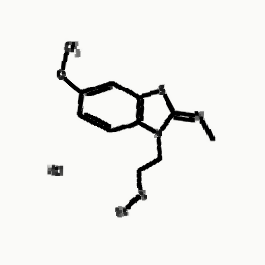 CCSCCn1c(=NC)sc2cc(OC(F)(F)F)ccc21.Cl